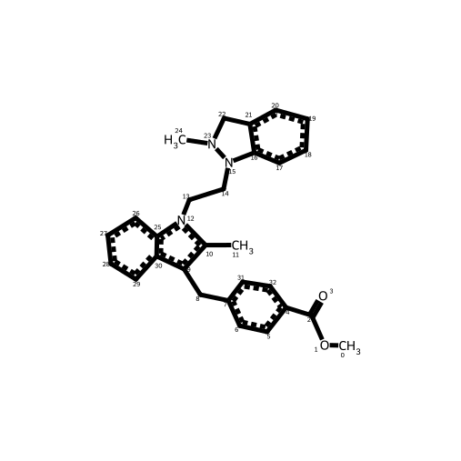 COC(=O)c1ccc(Cc2c(C)n(CCN3c4ccccc4CN3C)c3ccccc23)cc1